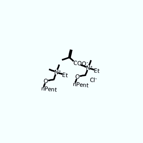 C=C(C)C(=O)[O-].CCCCCOC[N+](C)(C)CC.CCCCCOC[N+](C)(C)CC.[Cl-]